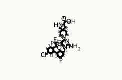 Nc1nc(OC(c2ccc(Cl)cc2-c2cc(F)cc(F)c2)C(F)(F)F)cc(N2CCC3(CC2)CNC(C(=O)O)C3)n1